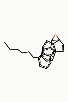 CCCCCCc1ccc2c(c1)C1SC1(c1ccc3ccccc3c1)C=C2